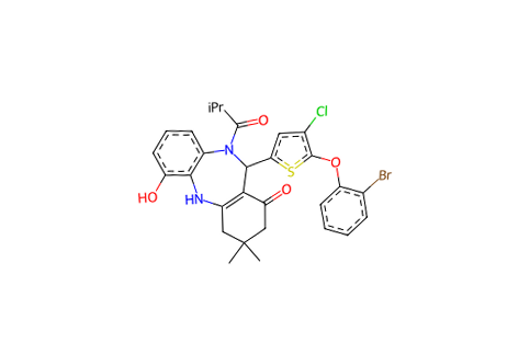 CC(C)C(=O)N1c2cccc(O)c2NC2=C(C(=O)CC(C)(C)C2)C1c1cc(Cl)c(Oc2ccccc2Br)s1